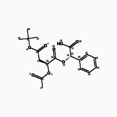 CC(=O)O[C@@H](CC(=O)OC(C)(C)C)C(=O)O[C@H](C(=O)O)c1ccccc1